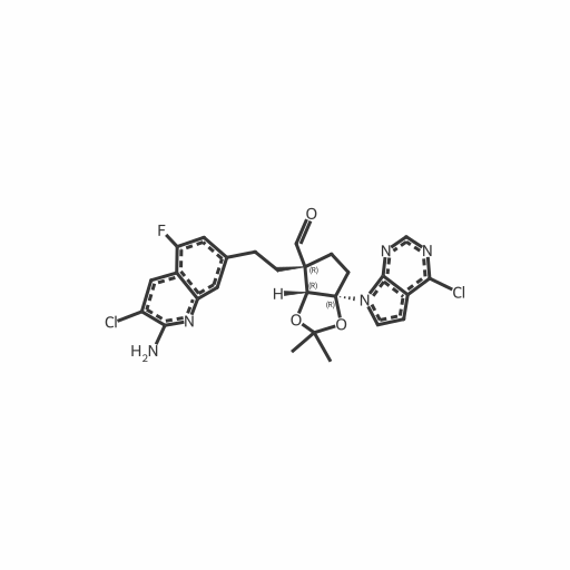 CC1(C)O[C@@H]2[C@@](C=O)(CCc3cc(F)c4cc(Cl)c(N)nc4c3)CC[C@@]2(n2ccc3c(Cl)ncnc32)O1